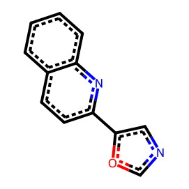 c1ccc2nc(-c3cnco3)ccc2c1